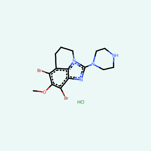 COc1c(Br)c2c3c(nc(N4CCNCC4)n3CCC2)c1Br.Cl